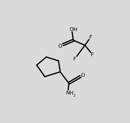 NC(=O)C1CCCC1.O=C(O)C(F)(F)F